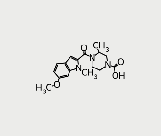 COc1ccc2cc(C(=O)N3CCN(C(=O)O)CC3C)n(C)c2c1